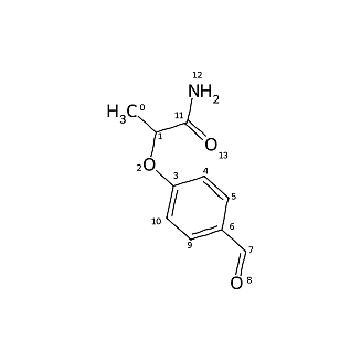 CC(Oc1ccc(C=O)cc1)C(N)=O